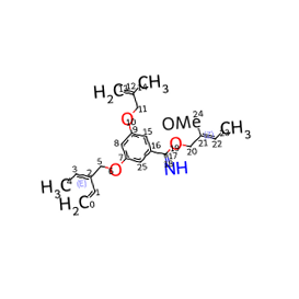 C=C/C(=C\C)COc1cc(OCC(=C)C)cc(C(=N)OC/C(=C/C)OC)c1